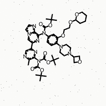 Cc1ncc(-c2cn3ccnc3c(N(C(=O)OC(C)(C)C)c3ccc(N4CCN(C5COC5)CC4)c(OCCOC4CCCCO4)c3)n2)nc1N(C(=O)OC(C)(C)C)C(=O)OC(C)(C)C